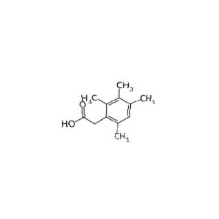 Cc1cc(C)c(CC(=O)O)c(C)c1C